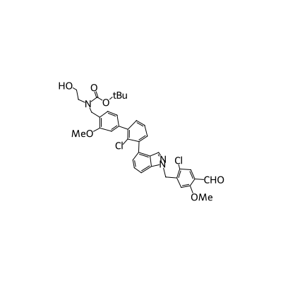 COc1cc(Cn2ncc3c(-c4cccc(-c5ccc(CN(CCO)C(=O)OC(C)(C)C)c(OC)c5)c4Cl)cccc32)c(Cl)cc1C=O